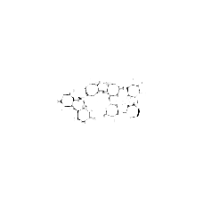 c1ccc(S(c2ccccc2)(c2ccccc2)c2ccc3oc4ccc(-n5c6ccccc6c6ccccc65)cc4c3c2)cc#1